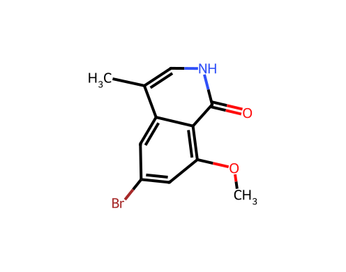 COc1cc(Br)cc2c(C)c[nH]c(=O)c12